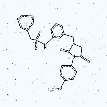 O=C1CN(Cc2ccnc(NS(=O)(=O)Cc3ccccc3)c2)C(=O)N1c1ccc(OC(F)(F)F)cc1